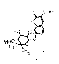 CO[C@@H]1C(O)C(O)[C@H](Oc2ccc3cc(NC(C)=O)c(=O)oc3c2)OC1(C)C